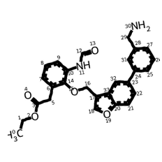 CCOC(=O)Cc1cccc(NC=O)c1OCc1coc2ccc(-c3cccc(CN)c3)cc12